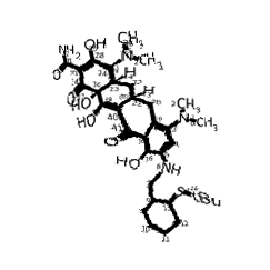 CN(C)c1cc(NCC2CCCCC2SC(C)(C)C)c(O)c2c1C[C@H]1C[C@H]3[C@H](N(C)C)C(O)=C(C(N)=O)C(=O)[C@@]3(O)C(O)=C1C2=O